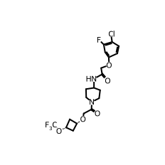 O=C(COc1ccc(Cl)c(F)c1)NC1CCN(C(=O)CO[C@H]2C[C@@H](OC(F)(F)F)C2)CC1